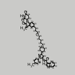 Cc1ccc(-n2nc(C3CCN(CCCCCOCCCc4ccc5c(c4)n(C)c(=O)n5C4CCC(=O)NC4=O)CC3)cc2NC(=O)c2cnn3cccnc23)nc1